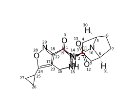 O=C(N[C@H]1C[C@H]2CC[C@@H](C1)N2S(=O)(=O)N1CC2CCC1CN2)c1cc(C2CC2)on1